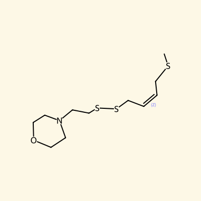 CSC/C=C\CSSCCN1CCOCC1